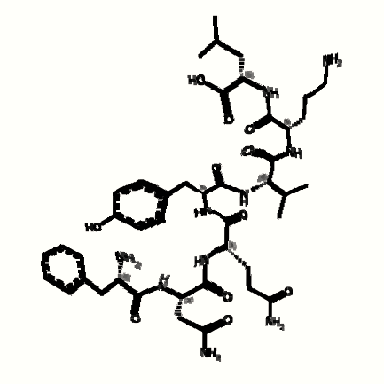 CC(C)C[C@H](NC(=O)[C@H](CCCN)NC(=O)[C@@H](NC(=O)[C@H](Cc1ccc(O)cc1)NC(=O)[C@H](CCC(N)=O)NC(=O)[C@H](CC(N)=O)NC(=O)[C@@H](N)Cc1ccccc1)C(C)C)C(=O)O